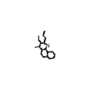 C=C/C=c1/nc2c(ccc3ccccc32)c(C)/c1=C/C